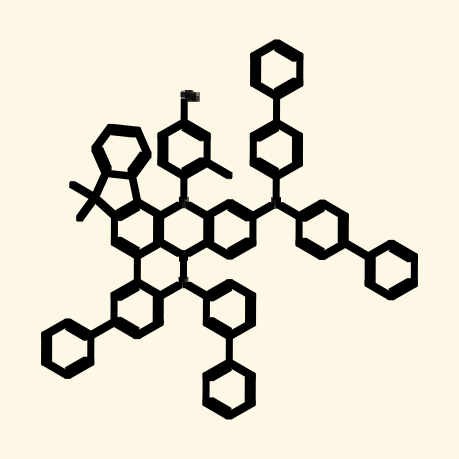 Cc1cc(C(C)(C)C)ccc1N1c2cc(N(c3ccc(-c4ccccc4)cc3)c3ccc(-c4ccccc4)cc3)ccc2B2c3c(cc4c(c31)-c1ccccc1C4(C)C)-c1cc(-c3ccccc3)ccc1N2c1cccc(-c2ccccc2)c1